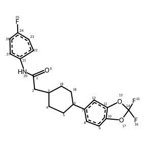 O=C(CC1CCC(c2ccc3c(c2)OC(F)(F)O3)CC1)Nc1ccc(F)cc1